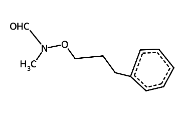 CN(C=O)OCCCc1ccccc1